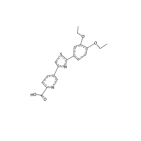 CCOc1ccc(-c2nc(-c3ccc(C(=O)O)nc3)cs2)cc1OCC